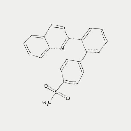 CS(=O)(=O)c1ccc(-c2ccccc2-c2ccc3ccccc3n2)cc1